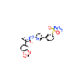 NS(=O)(=O)c1cccc(-c2ccc(NC(=O)C3(c4ccc5c(c4)OCO5)CC3)nc2)c1